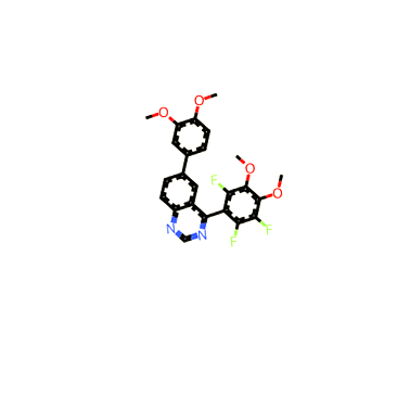 COc1ccc(-c2ccc3ncnc(-c4c(F)c(F)c(OC)c(OC)c4F)c3c2)cc1OC